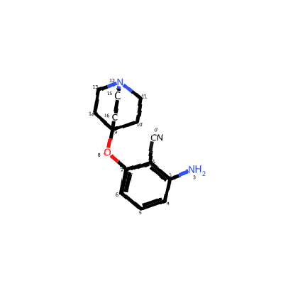 N#Cc1c(N)cccc1OC12CCN(CC1)CC2